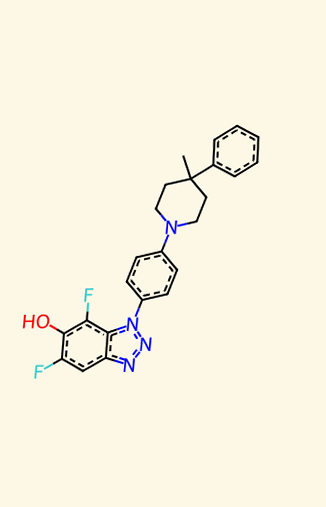 CC1(c2ccccc2)CCN(c2ccc(-n3nnc4cc(F)c(O)c(F)c43)cc2)CC1